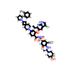 C=Cc1nc2[nH]cc(F)c2cc1Oc1cc(N2CCC3(CC2)CC(N2CCC[C@H]2c2ccccc2C(C)C)C3)ccc1C(=O)NS(=O)(=O)c1cc(N=O)c2c(c1)OC[C@H]([C@H]1CC[C@](C)(O)CC1)N2